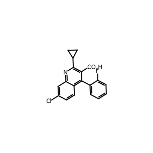 O=C(O)c1c(C2CC2)nc2cc(Cl)ccc2c1-c1ccccc1F